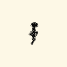 C=C(C)C(=O)Oc1cc(-c2ccc(C3CCC(CCCCC)CC3)cc2F)c(OC(=O)C(=C)C)cc1-c1ccc(OCC(COC(=O)C(C)=O)COC(=O)C(C)=O)cc1